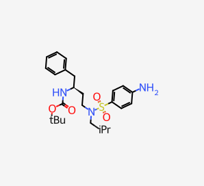 CC(C)CN(CC[C@H](Cc1ccccc1)NC(=O)OC(C)(C)C)S(=O)(=O)c1ccc(N)cc1